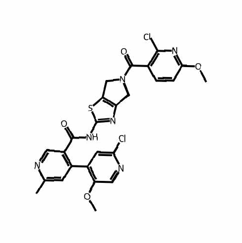 COc1ccc(C(=O)N2Cc3nc(NC(=O)c4cnc(C)cc4-c4cc(Cl)ncc4OC)sc3C2)c(Cl)n1